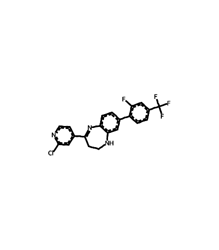 Fc1cc(C(F)(F)F)ccc1-c1ccc2c(c1)NCCC(c1ccnc(Cl)c1)=N2